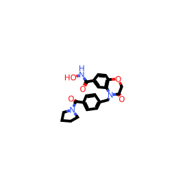 O=C(NO)c1ccc2c(c1)N(Cc1ccc(C(=O)N3CCCC3)cc1)C(=O)CO2